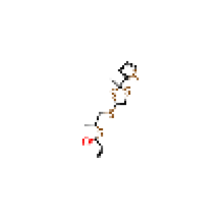 C=CC(=O)SC(C)CSC1CSC(C)(c2cccs2)S1